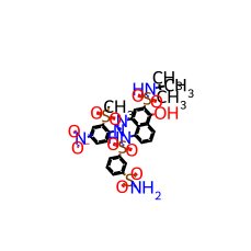 CC(C)(C)NS(=O)(=O)c1cc(/N=N/c2ccc([N+](=O)[O-])cc2S(C)(=O)=O)c2c(NS(=O)(=O)c3cccc(S(N)(=O)=O)c3)cccc2c1O